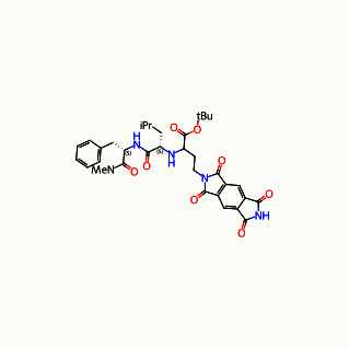 CNC(=O)[C@H](Cc1ccccc1)NC(=O)[C@H](CC(C)C)NC(CCn1c(=O)c2cc3c(=O)[nH]c(=O)c3cc2c1=O)C(=O)OC(C)(C)C